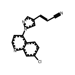 N#CC=Cc1cnn(-c2ccnc3cc(Cl)ccc23)c1